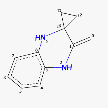 C=C1Nc2ccccc2NC12CC2